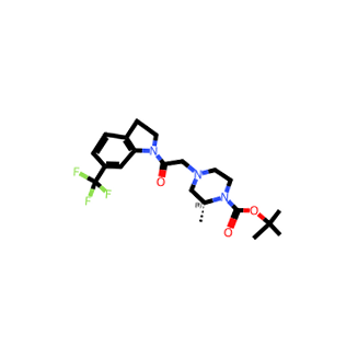 C[C@@H]1CN(CC(=O)N2CCc3ccc(C(F)(F)F)cc32)CCN1C(=O)OC(C)(C)C